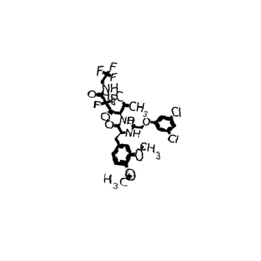 COc1ccc(C[C@H](NC(=O)COc2cc(Cl)cc(Cl)c2)C(=O)N[C@H](C(=O)C(F)(F)C(=O)NCC(F)(F)F)C(C)C)cc1OC